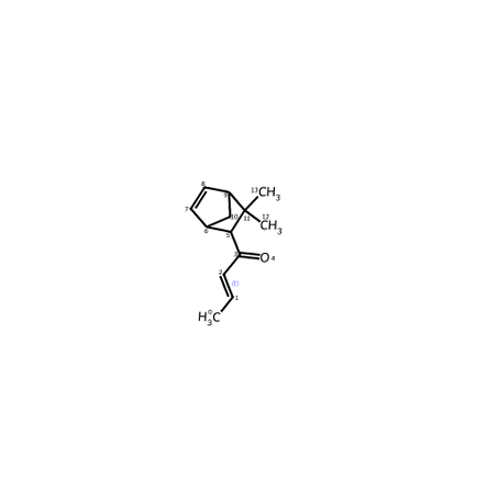 C/C=C/C(=O)C1C2C=CC(C2)C1(C)C